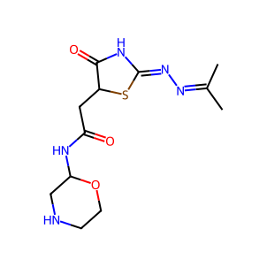 CC(C)=NN=C1NC(=O)C(CC(=O)NC2CNCCO2)S1